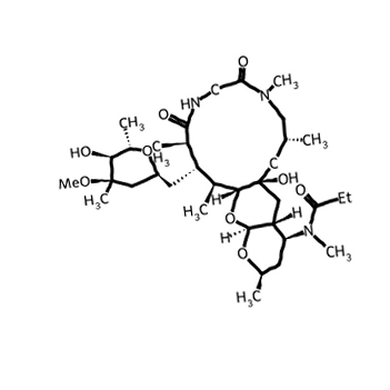 CCC(=O)N(C)[C@H]1C[C@@H](C)O[C@H]2O[C@@H]3[C@@H](C)[C@H](C[C@H]4C[C@@](C)(OC)[C@@H](O)[C@H](C)O4)[C@@H](C)C(=O)NCC(=O)N(C)C[C@H](C)C[C@]3(O)C[C@@H]21